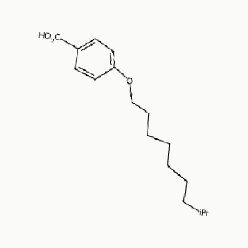 CC(C)CCCCCCCOc1ccc(C(=O)O)cc1